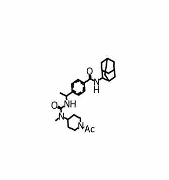 CC(=O)N1CCC(N(C)C(=O)NC(C)c2ccc(C(=O)NC3C4CC5CC(C4)CC3C5)cc2)CC1